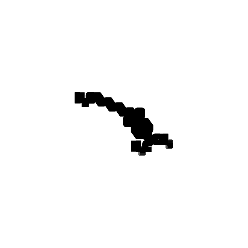 C=CCCCCCCS(=O)(=O)c1ccc(C(C)C)cc1